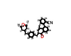 CC1=CC(Cc2ccc(CC3C[C@@H](C)O[C@@H](C)C3)cc2)C(=O)c2cccc(-c3ccccc3C#N)c21